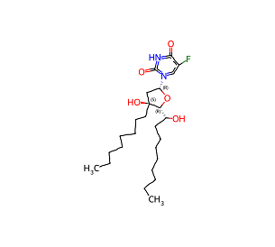 CCCCCCCCC(O)[C@H]1O[C@@H](n2cc(F)c(=O)[nH]c2=O)C[C@@]1(O)CCCCCCCC